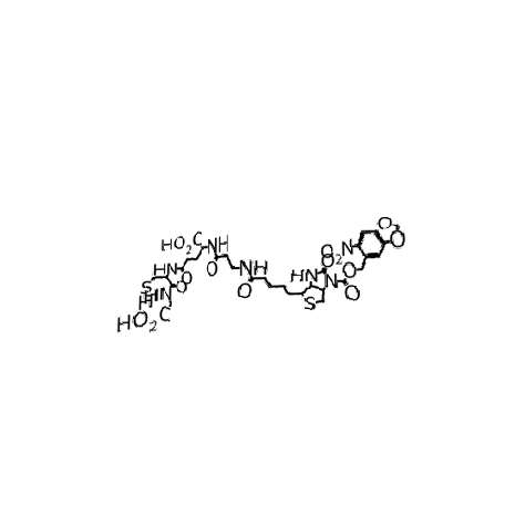 O=C(O)CNC(=O)C(CS)NC(=O)CCC(NC(=O)CCNC(=O)CCCCC1SCC2C1NC(=O)N2C(=O)OCc1cc2c(cc1[N+](=O)[O-])OCO2)C(=O)O